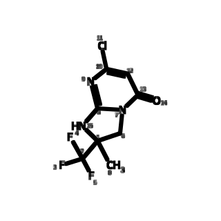 CC1(C(F)(F)F)Cn2c(nc(Cl)cc2=O)N1